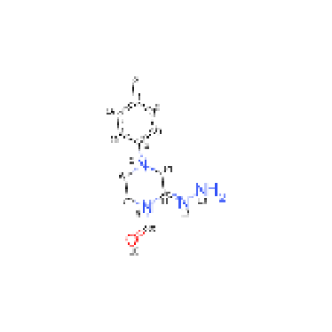 Cc1ccc(N2CCN([C]=O)C(=NN)C2)cc1